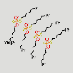 CC(C)CCCCCOP([O-])(=S)SCCCCCC(C)C.CC(C)CCCCCOP([O-])(=S)SCCCCCC(C)C.CC(C)CCCCCOP([O-])(=S)SCCCCCC(C)C.CC(C)CCCCCOP([O-])(=S)SCCCCCC(C)C.[Mo+4]